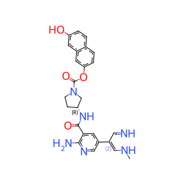 CN/C=C(\C=N)c1cnc(N)c(C(=O)N[C@@H]2CCN(C(=O)Oc3ccc4ccc(O)cc4c3)C2)c1